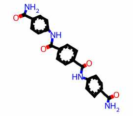 NC(=O)c1ccc(NC(=O)c2ccc(C(=O)Nc3ccc(C(N)=O)cc3)cc2)cc1